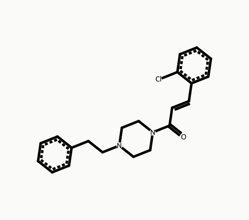 O=C(C=Cc1ccccc1Cl)N1CCN(CCc2ccccc2)CC1